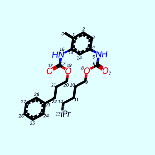 Cc1ccc(NC(=O)OCCCCC(C)C)cc1NC(=O)OCCCc1ccccc1